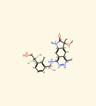 COC1(C)C(=O)N(C)c2cc3c(N[C@H](C)c4cccc(C(F)(F)CO)c4C)nnc(C)c3cc21